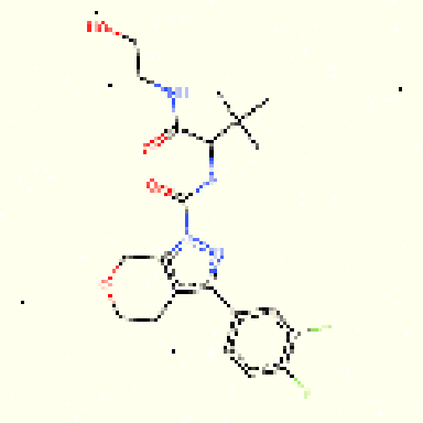 CC(C)(C)C(NC(=O)n1nc(-c2ccc(F)c(F)c2)c2c1COCC2)C(=O)NCCO